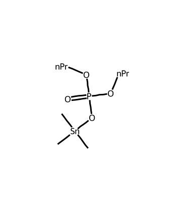 CCCOP(=O)(OCCC)[O][Sn]([CH3])([CH3])[CH3]